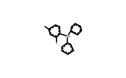 Ic1ccc([SH](c2ccccc2)c2ccccc2)c(I)c1